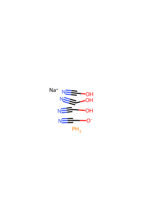 N#CO.N#CO.N#CO.N#C[O-].P.[Na+]